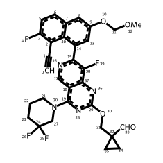 C#Cc1c(F)ccc2cc(OCOC)cc(-c3ncc4c(N5CCCC(F)(F)C5)nc(OCC5(C=O)CC5)nc4c3F)c12